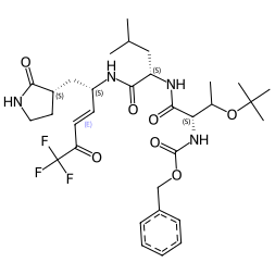 CC(C)C[C@H](NC(=O)[C@@H](NC(=O)OCc1ccccc1)C(C)OC(C)(C)C)C(=O)N[C@H](/C=C/C(=O)C(F)(F)F)C[C@@H]1CCNC1=O